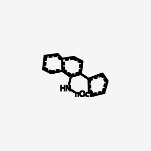 CCCCCCCCNc1c(-c2ccccc2)ccc2ccccc12